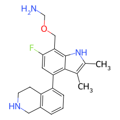 Cc1[nH]c2c(COCN)c(F)cc(-c3cccc4c3CCNC4)c2c1C